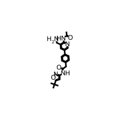 CC(=O)Nc1ncc(-c2ccc(CC(=O)Nc3cc(C(C)(C)C)on3)cc2)cc1CN